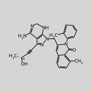 Cc1ccccc1-n1c(Cn2nc(C#C[C@@H](C)O)c3c2NCN=C3N)cc2cccc(C)c2c1=O